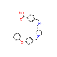 CN(Cc1ccc(C(=O)O)cc1)C[C@@H]1CCN(Cc2ccc(Oc3ccccc3)cc2)C1